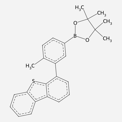 Cc1ccc(B2OC(C)(C)C(C)(C)O2)cc1-c1cccc2c1sc1ccccc12